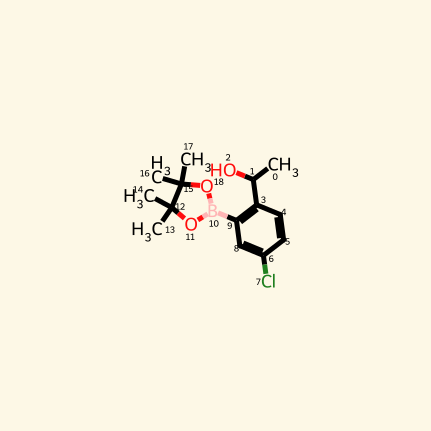 CC(O)c1ccc(Cl)cc1B1OC(C)(C)C(C)(C)O1